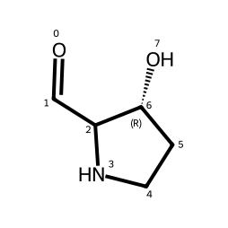 O=CC1NCC[C@H]1O